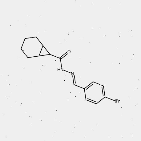 CC(C)c1ccc(C=NNC(=O)C2C3CCCCC32)cc1